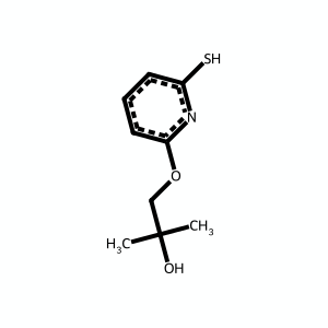 CC(C)(O)COc1cccc(S)n1